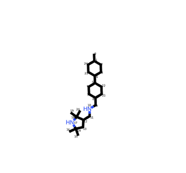 CC1CCC(C2CCC(CNCC3CC(C)(C)NC3(C)C)CC2)CC1